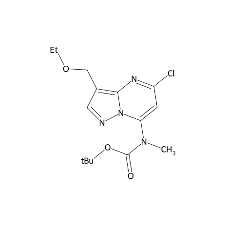 CCOCc1cnn2c(N(C)C(=O)OC(C)(C)C)cc(Cl)nc12